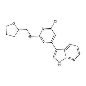 Clc1cc(-c2c[nH]c3ncccc23)cc(NCC2CCCO2)n1